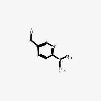 CN(C)c1ccc(CCl)cn1